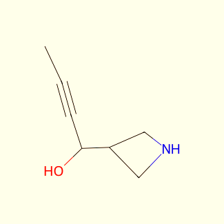 CC#CC(O)C1CNC1